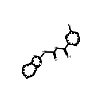 N=C(NC(=N)c1cccc(Br)c1)Nc1nc2ccccc2s1